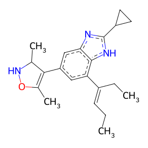 CC/C=C(\CC)c1cc(C2=C(C)ONC2C)cc2nc(C3CC3)[nH]c12